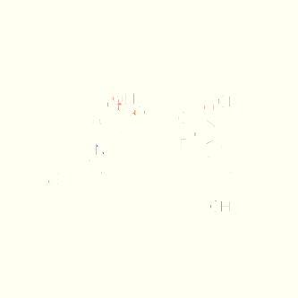 C/C=C1/CN(C(=O)CCC=O)C/C1=C/C(=C/O)OCCCOc1c(OC)cc2sc(C(CCC)=C3CC3)cc2c1F